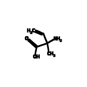 C=CC(C)(N)C(=O)O